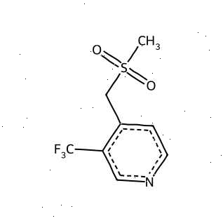 CS(=O)(=O)Cc1ccncc1C(F)(F)F